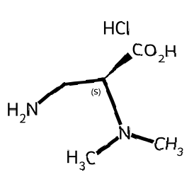 CN(C)[C@@H](CN)C(=O)O.Cl